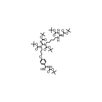 CC(C)(C)OC(=O)/N=C(/NCCCCCN(C(=O)OC(C)(C)C)/C(=N\C(=O)OC(C)(C)C)N(CCCOc1ccc(C(=N)NC(=O)OC(C)(C)C)cc1)C(=O)OC(C)(C)C)NC(=O)OC(C)(C)C